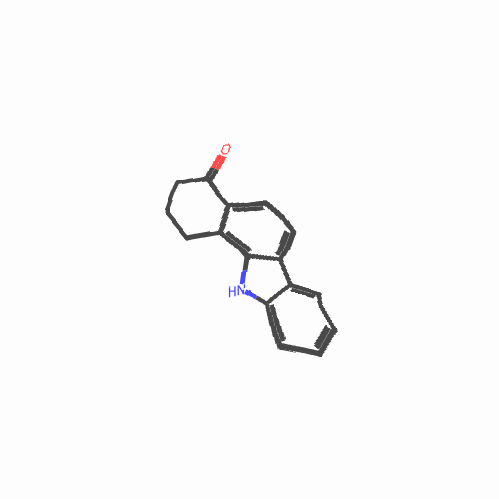 O=C1CCCc2c1ccc1c2[nH]c2ccccc21